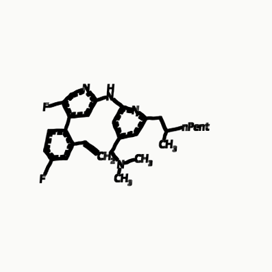 C=Cc1cc(F)ccc1-c1cc(Nc2cc(CN(C)C)cc(CC(C)CCCCC)n2)ncc1F